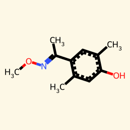 CON=C(C)c1cc(C)c(O)cc1C